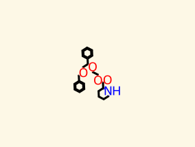 O=C(OCCOC(COCc1ccccc1)c1ccccc1)C1CCCCN1